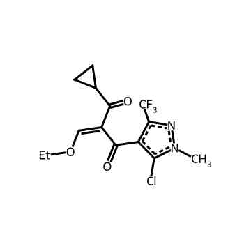 CCO/C=C(\C(=O)c1c(C(F)(F)F)nn(C)c1Cl)C(=O)C1CC1